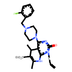 C=CCn1c2c(c(N3CCN(Cc4ccccc4F)CC3)nc1=O)C(C)C(C(=O)OCC)=C(C)N2